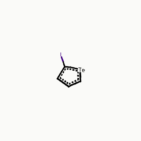 Ic1ccc[te]1